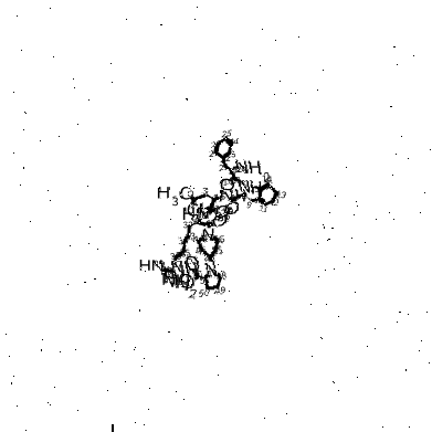 CC(C)C[C@@H](NC(=O)[C@@H](Cc1ccccc1)NC(=O)[C@H](N)Cc1ccccc1)C(=O)N[C@H](CCCCCNC(=N)N)C(=O)N1CCC(N2CCC[C@H]2C(=O)O)CC1